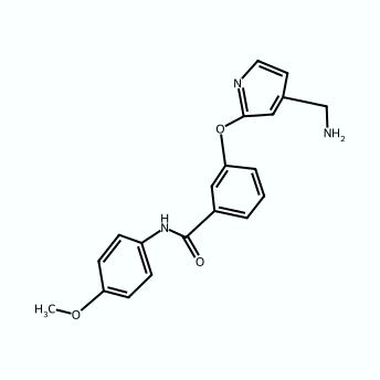 COc1ccc(NC(=O)c2cccc(Oc3cc(CN)ccn3)c2)cc1